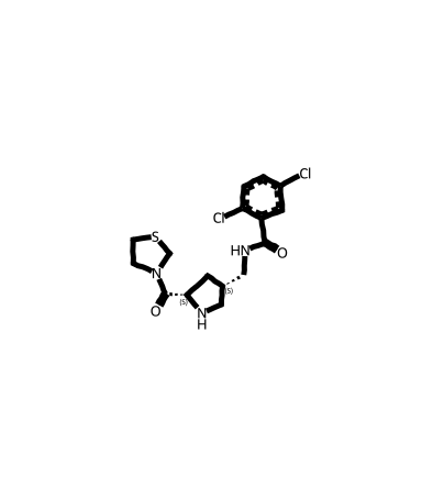 O=C(NC[C@@H]1CN[C@H](C(=O)N2CCSC2)C1)c1cc(Cl)ccc1Cl